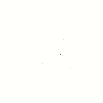 COc1ccc(C2O[C@H]([C@H](O)CO)[C@H](O)[C@H](CO)O2)cc1OC